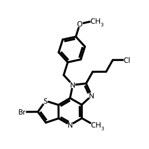 COc1ccc(Cn2c(CCCCl)nc3c(C)nc4cc(Br)sc4c32)cc1